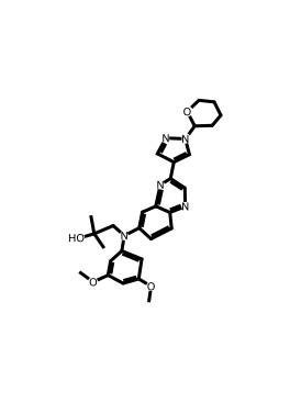 COc1cc(OC)cc(N(CC(C)(C)O)c2ccc3ncc(-c4cnn(C5CCCCO5)c4)nc3c2)c1